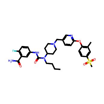 CCCCN(C(=O)Nc1ccc(F)c(C(N)=O)c1)C1CCN(Cc2ccc(Oc3ccc(S(C)(=O)=O)cc3C)nc2)CC1